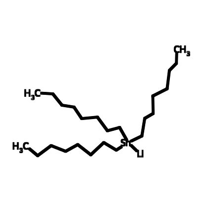 [Li][Sn]([CH2]CCCCCCC)([CH2]CCCCCCC)[CH2]CCCCCCC